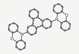 c1ccc2c(c1)Oc1ccccc1N2c1ccc2c3ccc(N4c5ccccc5Oc5ccccc54)cc3c3ccccc3c2c1